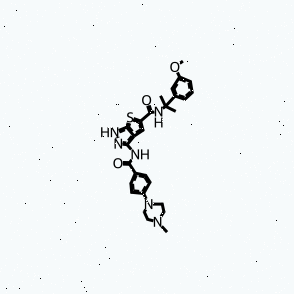 COc1cccc(C(C)(C)NC(=O)c2cc3c(NC(=O)c4ccc(N5CCN(C)CC5)cc4)n[nH]c3s2)c1